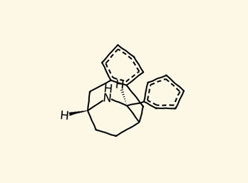 c1ccc([C@@H]2N[C@@H]3CCC2Cc2ccccc2C3)cc1